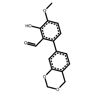 COc1ccc(-c2ccc3c(c2)OCOC3)c(C=O)c1O